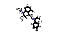 CO/N=C(/C(=O)OC)c1cccc(C)c1CO/N=C1\CCOc2cc(F)ccc21